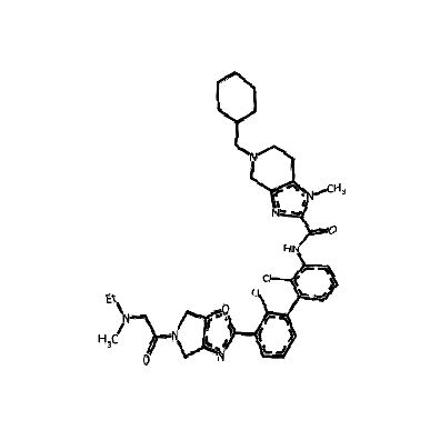 CCN(C)CC(=O)N1Cc2nc(-c3cccc(-c4cccc(NC(=O)c5nc6c(n5C)CCN(CC5CCCCC5)C6)c4Cl)c3Cl)oc2C1